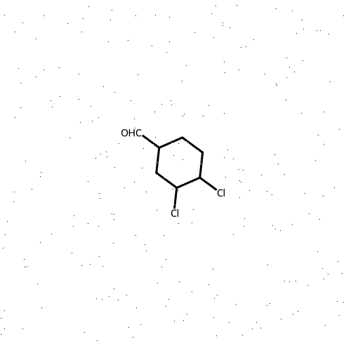 O=CC1CCC(Cl)C(Cl)C1